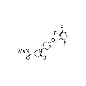 CNC(=O)C1CC(=O)N(c2ccc(OCc3c(F)ccc(F)c3F)cc2)C1